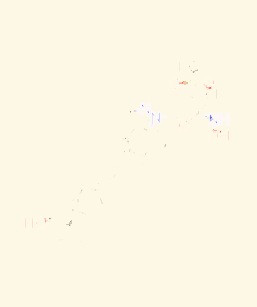 CC(CCn1ncc2cc(C#Cc3ccc(C4(CO)CC4)cc3)ccc21)(C(=O)NO)S(C)(=O)=O